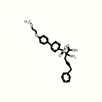 COCCOc1ccc(-c2ccc(S(=O)(=O)C(N)(CC#CCc3ccccc3)C(=O)O)cc2)cc1